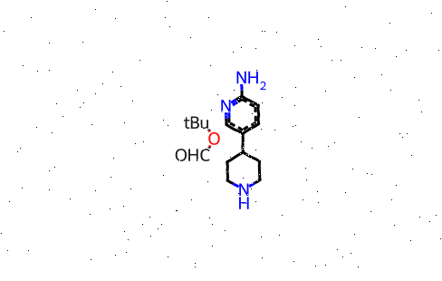 CC(C)(C)OC=O.Nc1ccc(C2CCNCC2)cn1